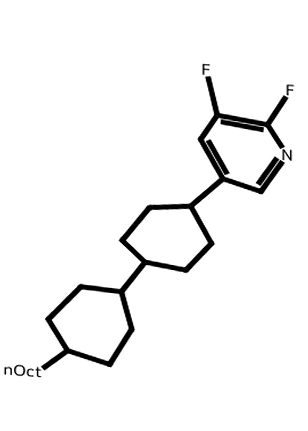 CCCCCCCCC1CCC(C2CCC(c3cnc(F)c(F)c3)CC2)CC1